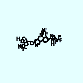 CCC(CC)(COc1cc(CN=[N+]=[N-])c(-c2ccc(-c3ncc(C(F)(F)F)[nH]3)c(F)c2)cn1)C(=O)O